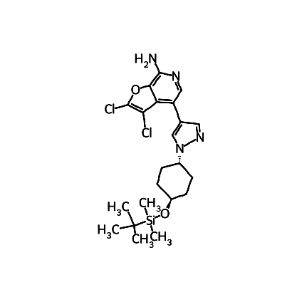 CC(C)(C)[Si](C)(C)O[C@H]1CC[C@H](n2cc(-c3cnc(N)c4oc(Cl)c(Cl)c34)cn2)CC1